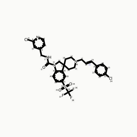 O=C(NCc1ccnc(Cl)c1)N1CC2(CCN(C/C=C/c3ccc(Cl)cc3)CC2)c2cc(S(=O)(=O)C(F)(F)F)ccc21